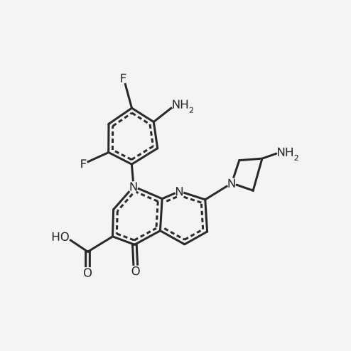 Nc1cc(-n2cc(C(=O)O)c(=O)c3ccc(N4CC(N)C4)nc32)c(F)cc1F